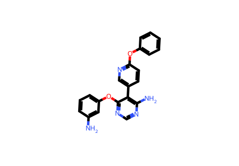 Nc1cccc(Oc2ncnc(N)c2-c2ccc(Oc3ccccc3)nc2)c1